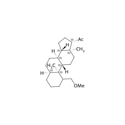 COCC1CCC[C@H]2CC[C@H]3[C@@H]4CC[C@H](C(C)=O)[C@@]4(C)CC[C@@H]3[C@@]12C